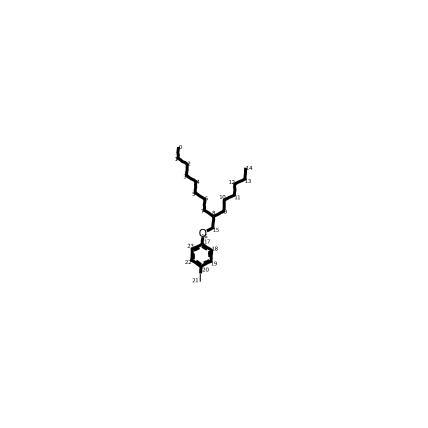 CCCCCCCCC(CCCCCC)COc1ccc(I)cc1